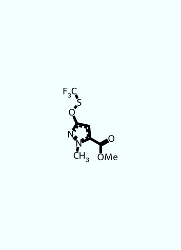 COC(=O)c1cc(OSC(F)(F)F)nn1C